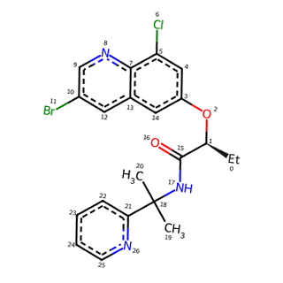 CC[C@H](Oc1cc(Cl)c2ncc(Br)cc2c1)C(=O)NC(C)(C)c1ccccn1